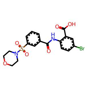 O=C(Nc1ccc(Br)cc1C(=O)O)c1cccc(S(=O)(=O)N2CCOCC2)c1